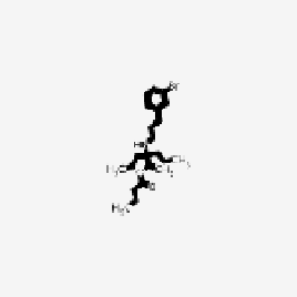 C=C(OC(=O)CCC)C(CCC)(CCC)NCCCc1cccc(Br)c1